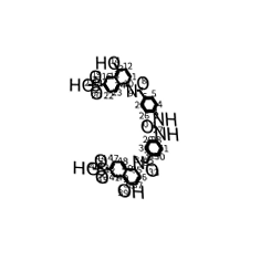 O=C(Nc1ccc(C(=O)N=C2C=CC(O)=C3CC(S(=O)(=O)O)=CC=C23)cc1)Nc1ccc(C(=O)N=C2C=CC(O)=C3CC(S(=O)(=O)O)=CC=C23)cc1